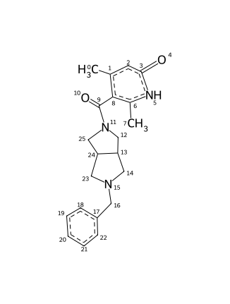 Cc1cc(=O)[nH]c(C)c1C(=O)N1CC2CN(Cc3ccccc3)CC2C1